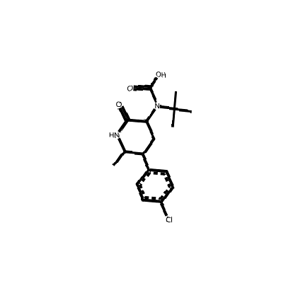 CC1NC(=O)C(N(C(=O)O)C(C)(C)C)CC1c1ccc(Cl)cc1